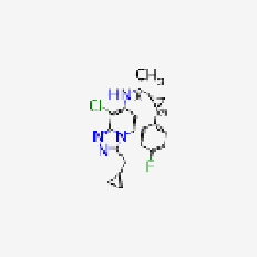 C[C@@H](Nc1ccn2c(CC3CC3)nnc2c1Cl)C1C[C@H]1c1ccc(F)cc1